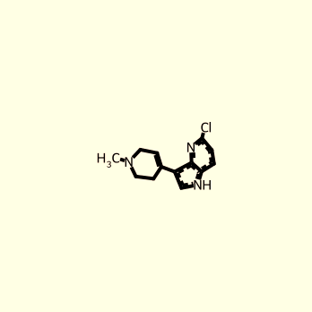 CN1CC=C(c2c[nH]c3ccc(Cl)nc23)CC1